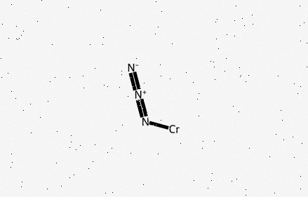 [N-]=[N+]=[N][Cr]